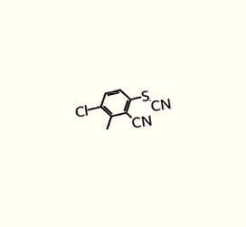 Cc1c(Cl)ccc(SC#N)c1C#N